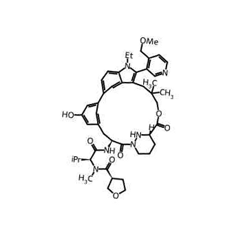 CCn1c(-c2cnccc2COC)c2c3cc(ccc31)-c1cc(O)cc(c1)C[C@H](NC(=O)[C@H](C(C)C)N(C)C(=O)[C@H]1CCOC1)C(=O)N1CCC[C@H](N1)C(=O)OCC(C)(C)C2